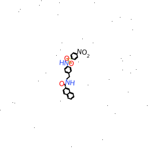 O=C(NCCc1ccc(NS(=O)(=O)c2ccc([N+](=O)[O-])cc2)cc1)c1ccc2ccccc2c1